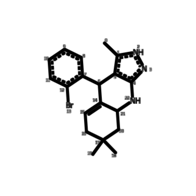 Cc1[nH]nc2c1C(c1ccccc1Br)C1=CCC(C)(C)CC1N2